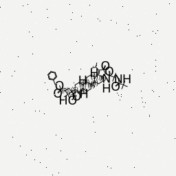 CC(C)C1=C2[C@H]3CC[C@@H]4[C@]5(C)CC[C@H]([C@@]6(C(=O)O)C[C@@H](C(=O)OCc7ccccc7)C6(C)C)C(C)(C)[C@H]5CC[C@@]4(C)[C@]3(C)CC[C@@]2(NC(=O)C(C)(C)NC(=O)C(C)(C)C)CC1=O